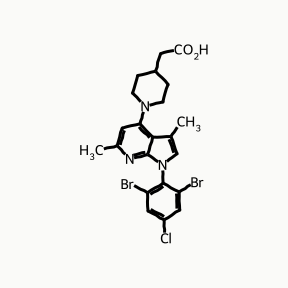 Cc1cc(N2CCC(CC(=O)O)CC2)c2c(C)cn(-c3c(Br)cc(Cl)cc3Br)c2n1